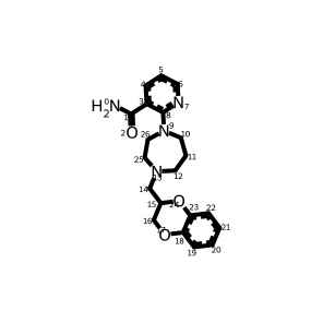 NC(=O)c1cccnc1N1CCCN(CC2COc3ccccc3O2)CC1